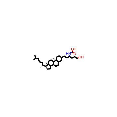 CC(C)CCC[C@@H](C)[C@H]1CCC2C3CC=C4CC(CCC(CCCO)NC(=O)O)CC[C@]4(C)C3CC[C@@]21C